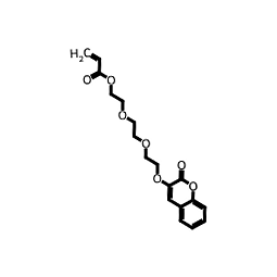 C=CC(=O)OCCOCCOCCOc1cc2ccccc2oc1=O